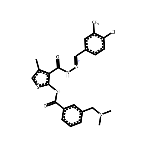 Cc1csc(NC(=O)c2cccc(CN(C)C)c2)c1C(=O)N/N=C/c1ccc(Cl)c(C(F)(F)F)c1